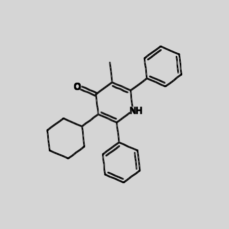 Cc1c(-c2ccccc2)[nH]c(-c2ccccc2)c(C2CCCCC2)c1=O